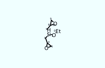 CCO[SiH](CC1CO1)CC1CO1